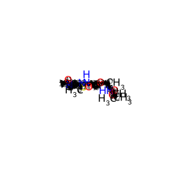 Cc1sc(NC(=O)Cc2cccc(OCCC(C)CCNC(=O)OC(C)(C)C)c2)nc1-c1ccc2c(c1)CCN2C(=O)C1CC1